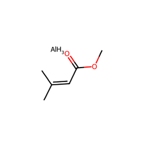 COC(=O)C=C(C)C.[AlH3]